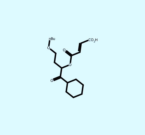 CCCCOCCC(OC(=O)/C=C/C(=O)O)C(=O)C1CCCCC1